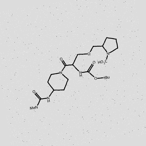 CNC(=O)NC1CCN(C(=O)C(COCC2CCCN2C(=O)O)NC(=O)OC(C)(C)C)CC1